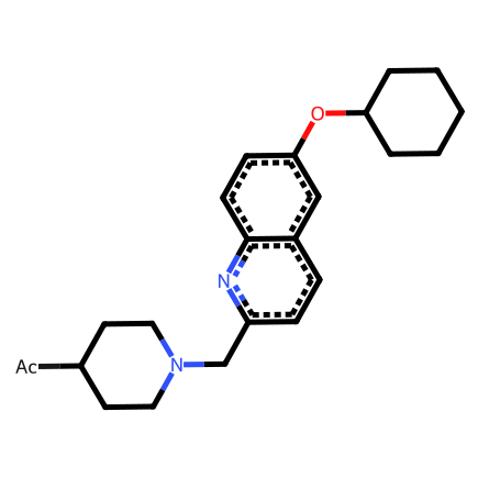 CC(=O)C1CCN(Cc2ccc3cc(OC4CCCCC4)ccc3n2)CC1